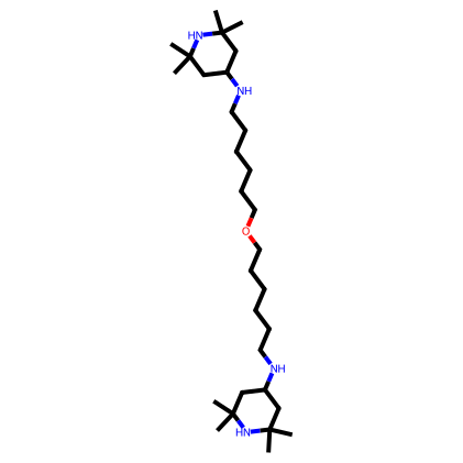 CC1(C)CC(NCCCCCCOCCCCCCNC2CC(C)(C)NC(C)(C)C2)CC(C)(C)N1